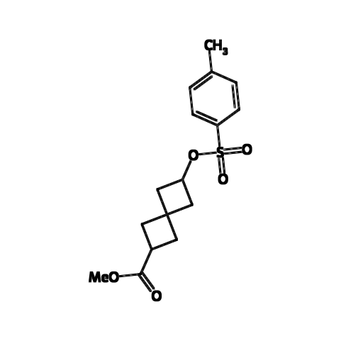 COC(=O)C1CC2(CC(OS(=O)(=O)c3ccc(C)cc3)C2)C1